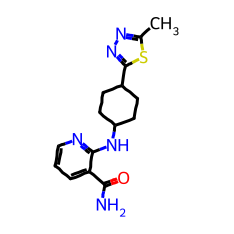 Cc1nnc(C2CCC(Nc3ncccc3C(N)=O)CC2)s1